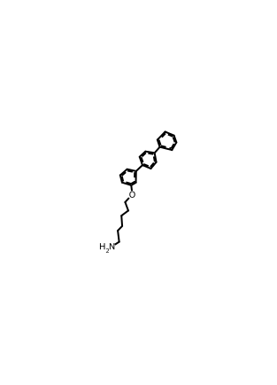 NCCCCCCOc1cccc(-c2ccc(-c3ccccc3)cc2)c1